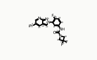 CC(C)c1cnc2nn(-c3cc(NC(=O)N4CC(F)(F)C4)ccc3F)cc2c1